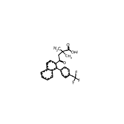 CC(C)(CC(=O)c1ccc2ccccc2c1-c1ccc(C(F)(F)F)cc1)C(=O)O